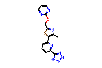 Cc1nc(COc2ncccn2)sc1-c1cccc(-c2nnn[nH]2)n1